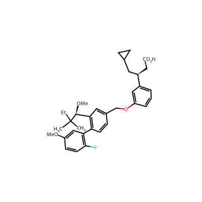 CCC(C)(C)[C@@H](OC)c1cc(COc2cccc([C@H](CC(=O)O)CC3CC3)c2)ccc1-c1cc(OC)ccc1F